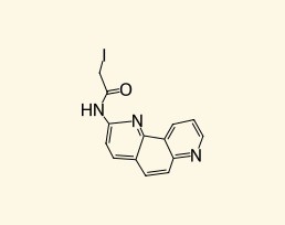 O=C(CI)Nc1ccc2ccc3ncccc3c2n1